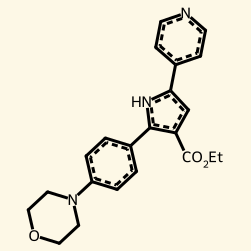 CCOC(=O)c1cc(-c2ccncc2)[nH]c1-c1ccc(N2CCOCC2)cc1